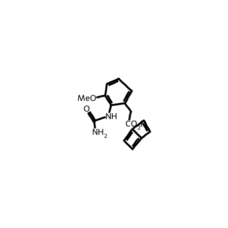 COc1cccc(CC(=O)O)c1NC(N)=O.c1cc2ccc1-2